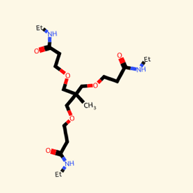 CCNC(=O)CCOCC(C)(COCCC(=O)NCC)COCCC(=O)NCC